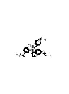 COc1ccc(Cl)c(Nc2ncnc3cc(OC)cc(OC4CCN(C)CC4)c23)c1